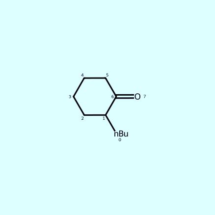 CCCCC1CCCCC1=O